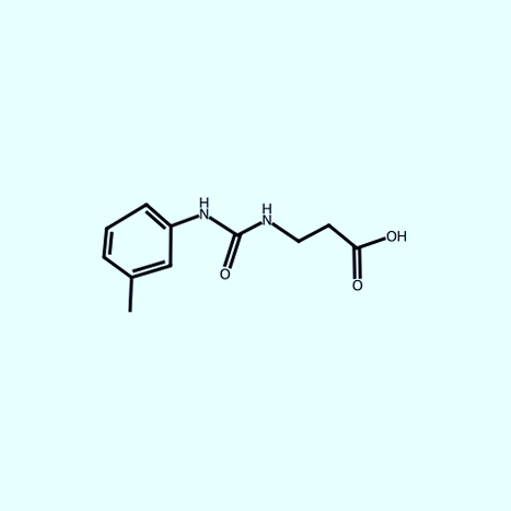 Cc1cccc(NC(=O)NCCC(=O)O)c1